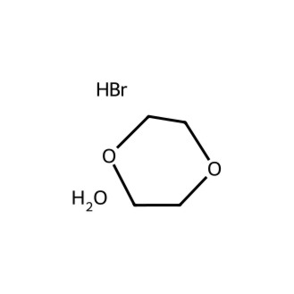 Br.C1COCCO1.O